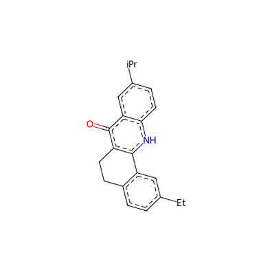 CCc1ccc2c(c1)-c1[nH]c3ccc(C(C)C)cc3c(=O)c1CC2